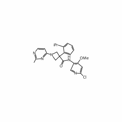 COc1cc(Cl)ncc1NC(=O)C1(c2ccccc2C(C)C)CN(c2ccnc(C)n2)C1